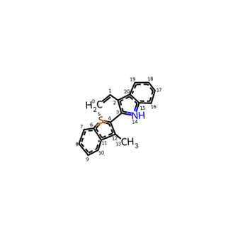 C=Cc1c(-c2sc3ccccc3c2C)[nH]c2ccccc12